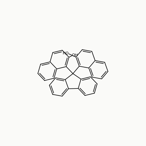 Oc1ccc2ccccc2c1C1(c2c(O)ccc3ccccc23)c2ccccc2-c2ccccc21